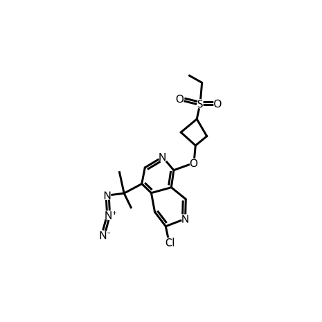 CCS(=O)(=O)C1CC(Oc2ncc(C(C)(C)N=[N+]=[N-])c3cc(Cl)ncc23)C1